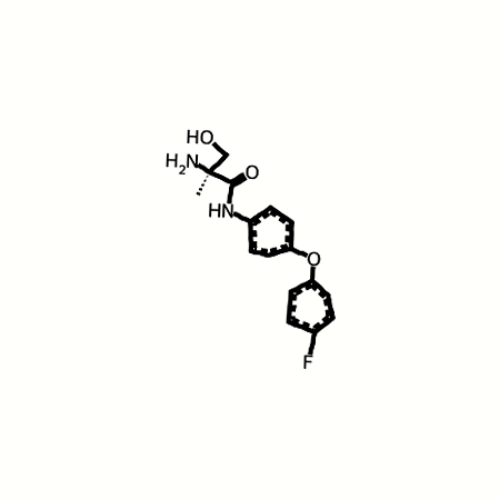 C[C@](N)(CO)C(=O)Nc1ccc(Oc2ccc(F)cc2)cc1